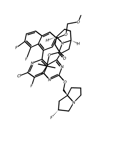 COCOc1cc(-c2nc(Cl)c(F)c3nc(OC[C@@]45CCCN4C[C@H](F)C5)nc(N4C[C@H]5CC[C@@H](C4)N5C(=O)OC(C)(C)C)c23)c2c(F)c(F)ccc2c1